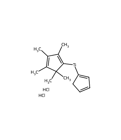 CC1=C(C)C(C)(C)[C]([Ti][C]2=CC=CC2)=C1C.Cl.Cl